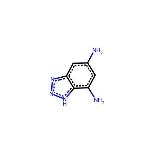 Nc1cc(N)c2[nH]nnc2c1